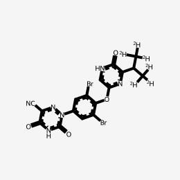 [2H]C([2H])([2H])C(c1nc(Oc2c(Br)cc(-n3nc(C#N)c(=O)[nH]c3=O)cc2Br)c[nH]c1=O)C([2H])([2H])[2H]